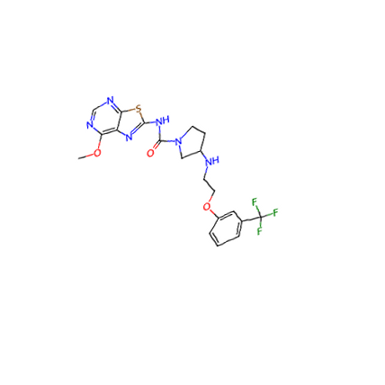 COc1ncnc2sc(NC(=O)N3CCC(NCCOc4cccc(C(F)(F)F)c4)C3)nc12